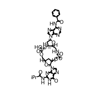 CC(C)C(=O)Nc1nc2c(ncn2[C@@H]2O[C@@H]3COP(=O)(O)O[C@H]4C[C@H](n5cnc6c(NC(=O)c7ccccc7)ncnc65)O[C@@H]4CNS(=O)(=O)O[C@@H]2C3)c(=O)[nH]1